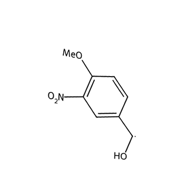 COc1ccc([CH]O)cc1[N+](=O)[O-]